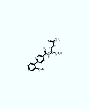 COc1ccccc1-c1ccc(C(=O)N[C@@H](CCC(N)=O)C(=O)O)cn1